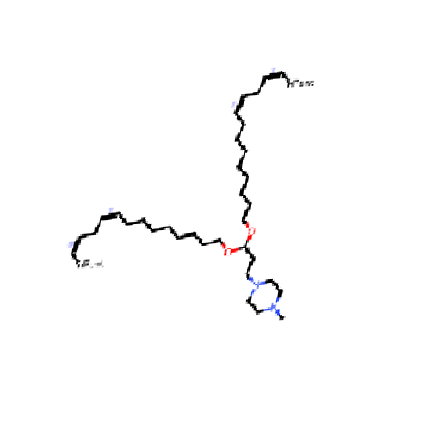 CCCCC/C=C\C/C=C\CCCCCCCCOC(CCN1CCN(C)CC1)OCCCCCCCC/C=C\C/C=C\CCCCC